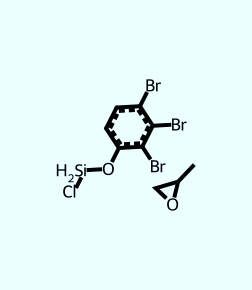 CC1CO1.Cl[SiH2]Oc1ccc(Br)c(Br)c1Br